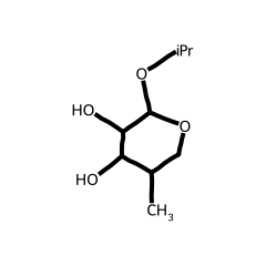 CC(C)OC1OCC(C)C(O)C1O